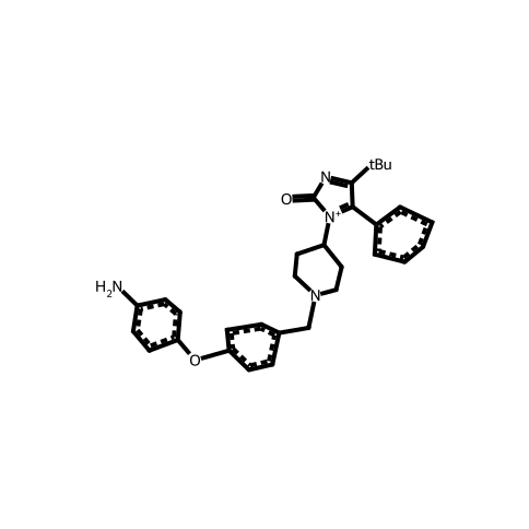 CC(C)(C)C1=NC(=O)[N+](C2CCN(Cc3ccc(Oc4ccc(N)cc4)cc3)CC2)=C1c1ccccc1